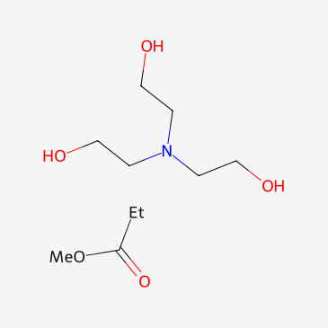 CCC(=O)OC.OCCN(CCO)CCO